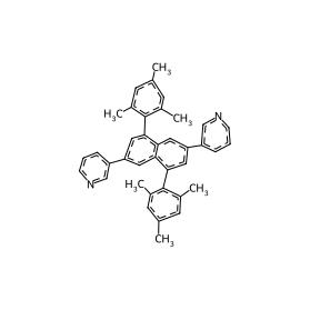 Cc1cc(C)c(-c2cc(-c3cccnc3)cc3c(-c4c(C)cc(C)cc4C)cc(-c4cccnc4)cc23)c(C)c1